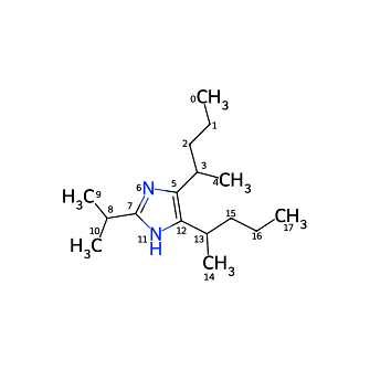 CCCC(C)c1nc(C(C)C)[nH]c1C(C)CCC